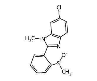 Cn1c(-c2ccccc2[S+](C)[O-])nc2ccc(Cl)cc21